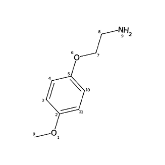 COc1ccc(OCCN)cc1